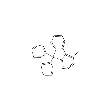 Ic1cccc2c1-c1ccccc1C2(c1ccccc1)c1ccccc1